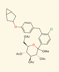 COC1(c2ccc(Cl)c(Cc3ccc(OC4CC5CC5C4)cc3)c2)O[C@H](COC(C)=O)[C@@H](OC(C)=O)[C@H](OC(C)=O)[C@H]1OC(C)=O